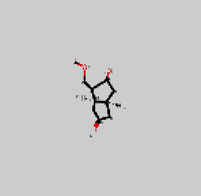 COCC1C(O)C[C@H]2CC(=O)C[C@@H]12